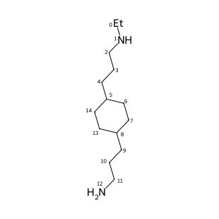 CCNCCCC1CCC(CCCN)CC1